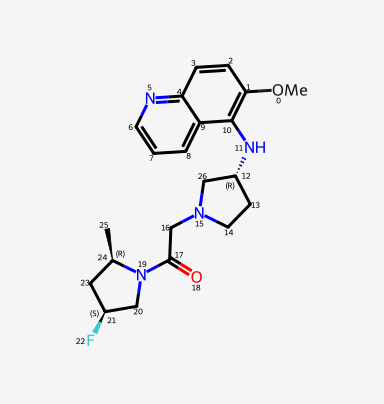 COc1ccc2ncccc2c1N[C@@H]1CCN(CC(=O)N2C[C@@H](F)C[C@H]2C)C1